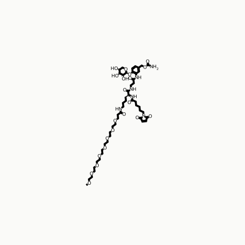 COCCOCCOCCOCCOCCOCCOCCOCCC(=O)NCCCC[C@H](NC(=O)CCCCCN1C(=O)C=CC1=O)C(=O)NCCC(=O)Nc1cc(COC(N)=O)ccc1O[C@@H]1OC[C@@H](O)[C@H](O)[C@H]1O